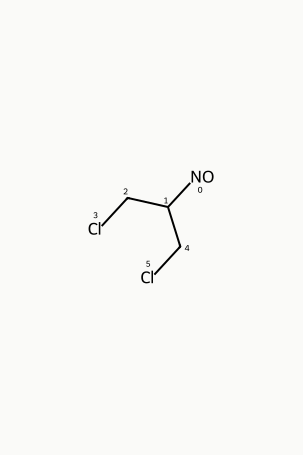 O=NC(CCl)CCl